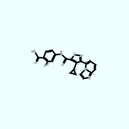 O=C(O)c1ccc(NC(=O)c2snc(-c3cccc4nccn34)c2C2CC2)cc1Cl